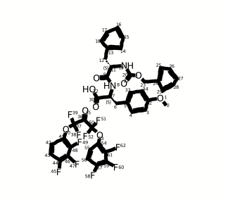 COc1ccc(C[C@H](NC(=O)[C@H](Cc2ccccc2)NC(=O)OCc2ccccc2)C(=O)O)cc1.O=C(C(F)(F)Oc1ccc(F)c(F)c1F)C(F)(F)Oc1ccc(F)c(F)c1F